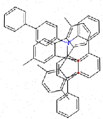 Cc1ccc2c(c1)C1(c3cccc(C)c3-2)c2c(-c3ccccc3N(c3ccc(-c4ccccc4)cc3)c3ccc(-c4ccccc4)cc3)cccc2-c2c(C)ccc(C)c21